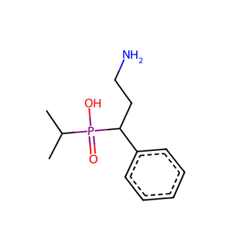 CC(C)P(=O)(O)C(CCN)c1ccccc1